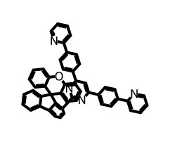 c1ccc(-c2ccc(-c3cc(-c4ccc(-c5ccccn5)cc4)nc(-c4cccc5c4C4(c6ccccc6Oc6ccccc64)c4ccccc4-5)n3)cc2)nc1